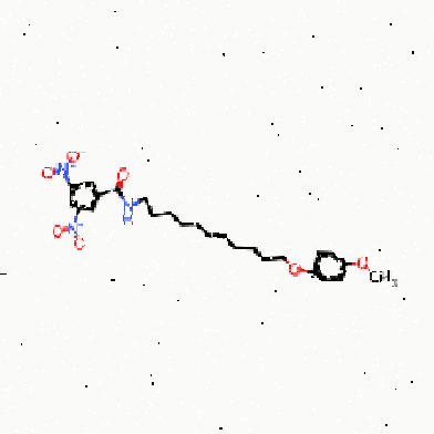 COc1ccc(OCCCCCCCCCCCNC(=O)c2cc([N+](=O)[O-])cc([N+](=O)[O-])c2)cc1